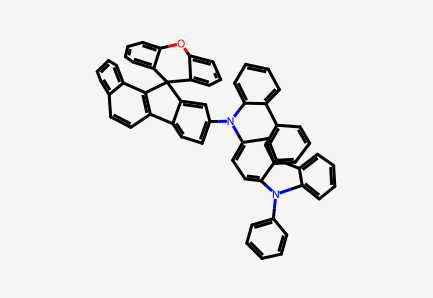 c1ccc(-c2ccccc2N(c2ccc3c(c2)C2(c4ccccc4Oc4ccccc42)c2c-3ccc3ccccc23)c2ccc3c(c2)c2ccccc2n3-c2ccccc2)cc1